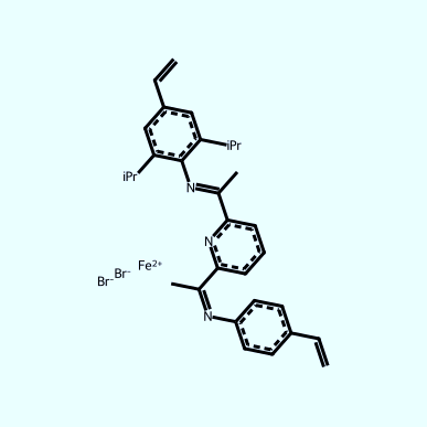 C=Cc1ccc(N=C(C)c2cccc(C(C)=Nc3c(C(C)C)cc(C=C)cc3C(C)C)n2)cc1.[Br-].[Br-].[Fe+2]